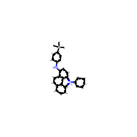 C[Si](C)(C)c1ccc(Nc2ccc3c4c2ccc2cccc(c24)n3-c2ccccc2)cc1